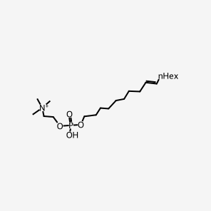 CCCCCC/C=C/CCCCCCCCOP(=O)(O)OCC[N+](C)(C)C